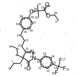 CCCC1(CCC)C(=O)N(c2ccc(C(F)(F)F)cc2)N=C1CCCc1ccc(OC(C)(C)C(=O)OCC)cc1